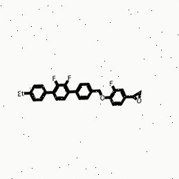 CCc1ccc(-c2ccc(-c3ccc(COc4ccc(C5CO5)cc4F)cc3)c(F)c2F)cc1